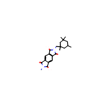 CC1CC(C)(C)CC(C)(Cn2c(=O)c3cc4c(=O)n(C)c(=O)c4cc3c2=O)C1